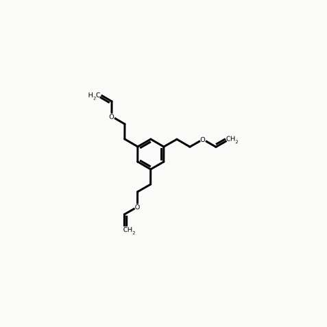 C=COCCc1cc(CCOC=C)cc(CCOC=C)c1